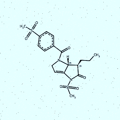 CCC[C@H]1C(=O)N(S(C)(=O)=O)C2=CCN(C(=O)c3ccc(S(C)(=O)=O)cc3)[C@@H]21